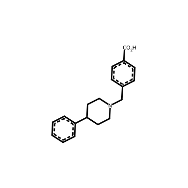 O=C(O)c1ccc(CN2CCC(c3ccccc3)CC2)cc1